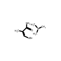 CCCCC=C(C)C(N)=O.CN(C)C